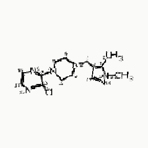 Cc1c(CN2CCN(c3nccnc3Cl)CC2)cnn1C